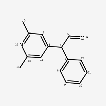 Cc1cc(C(C=O)c2ccccc2)cc(C)n1